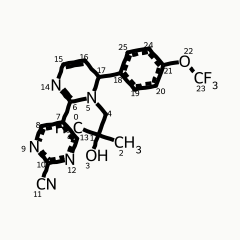 CC(C)(O)CN1C(c2cnc(C#N)nc2)=NC=CC1c1ccc(OC(F)(F)F)cc1